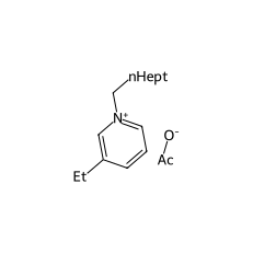 CC(=O)[O-].CCCCCCCC[n+]1cccc(CC)c1